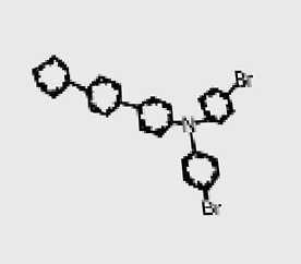 Brc1ccc(N(c2ccc(Br)cc2)c2ccc(-c3ccc(-c4ccccc4)cc3)cc2)cc1